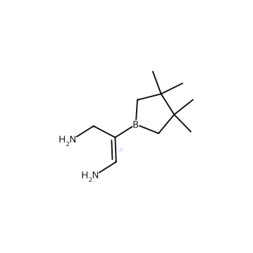 CC1(C)CB(/C(=C/N)CN)CC1(C)C